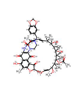 CO[C@H]1/C=C/O[C@@]2(C)Oc3c(C)c(O)c4c(c3C2=O)C(=O)C(N2CCN(Cc3ccc5c(c3)OCO5)CC2)=C(NC(=O)/C(C)=C\C=C\[C@H](C)[C@H](O)[C@@H](C)[C@H](O)[C@H](C)[C@H](OC(C)=O)[C@@H]1C)C4=O